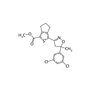 COC(=O)c1sc(C2=NOC(C)(c3cc(Cl)cc(Cl)c3)C2)c2c1CCC2